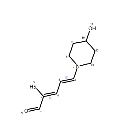 O=C/C(S)=C/C=C/N1CCC(O)CC1